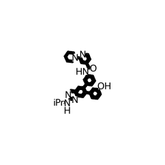 CC(C)Nc1ncc2cc(-c3cccc(NC(=O)c4ccnc(N5CCCCC5)c4)c3)c(-c3cccc(O)c3)cc2n1